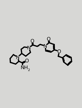 NC(=O)C1CCCCN1C1CCN(C(=O)[CH]Cn2ccc(OCc3ccccc3)cc2=O)CC1